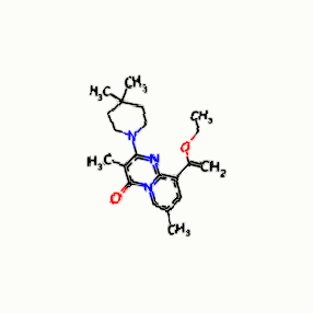 C=C(OCC)c1cc(C)cn2c(=O)c(C)c(N3CCC(C)(C)CC3)nc12